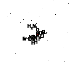 CCC(=O)c1ccc(F)c(C2CC2NC(=O)Nc2ccc(Br)cn2)c1OC(=O)c1ccc(CN)cc1